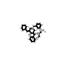 CCNCC.O=C1C(=Cc2ccccc2)CN(Cc2ccccc2)CC1=Cc1ccccc1